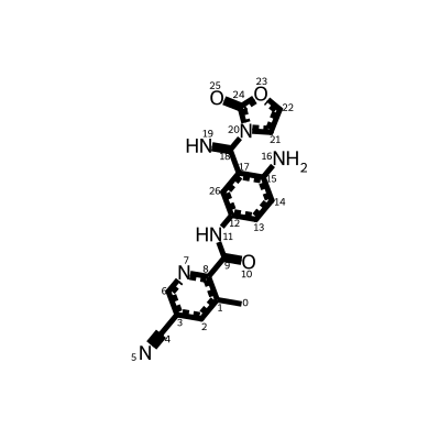 Cc1cc(C#N)cnc1C(=O)Nc1ccc(N)c(C(=N)n2ccoc2=O)c1